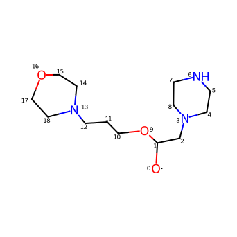 [O]C(CN1CCNCC1)OCCCN1CCOCC1